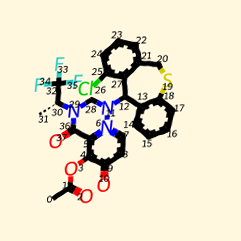 CC(=O)Oc1c2n(ccc1=O)N(C1c3ccccc3SCc3cccc(Cl)c31)CN([C@H](C)C(F)(F)F)C2=O